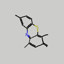 C=c1cc(C)c2c(c1C)Sc1ccc(C)cc1N=2